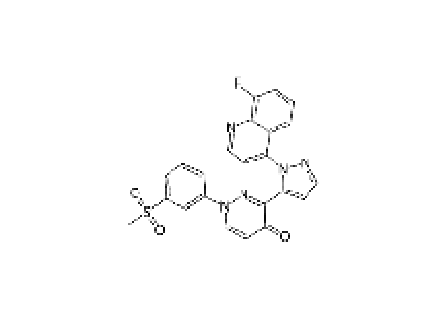 CS(=O)(=O)c1cccc(-n2ccc(=O)c(-c3ccnn3-c3ccnc4c(F)cccc34)n2)c1